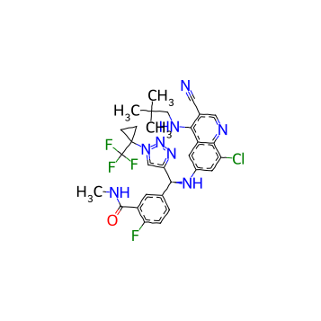 CNC(=O)c1cc([C@H](Nc2cc(Cl)c3ncc(C#N)c(NCC(C)(C)C)c3c2)c2cn(C3(C(F)(F)F)CC3)nn2)ccc1F